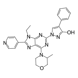 CCn1c(-c2ccncc2)nc2c(N3CCOCC3C)nc(-n3cc(-c4ccccc4)c(O)n3)nc21